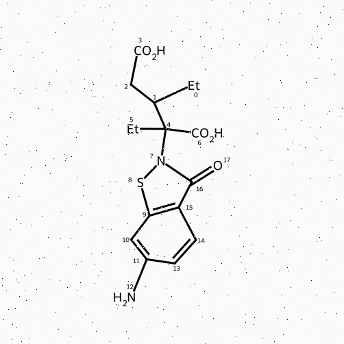 CCC(CC(=O)O)C(CC)(C(=O)O)n1sc2cc(N)ccc2c1=O